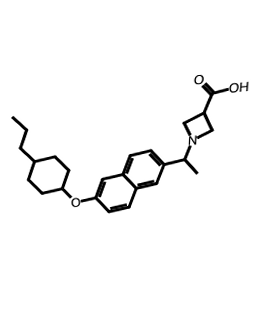 CCCC1CCC(Oc2ccc3cc(C(C)N4CC(C(=O)O)C4)ccc3c2)CC1